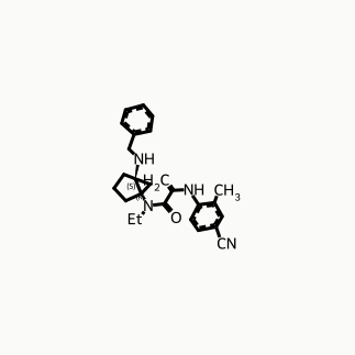 C=C(Nc1ccc(C#N)cc1C)C(=O)N(CC)[C@@]12CCC[C@]1(NCc1ccccc1)C2